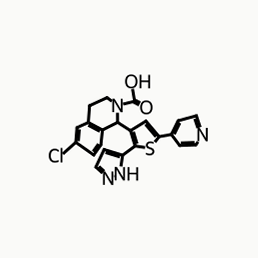 O=C(O)N1CCc2cc(Cl)ccc2C1c1cc(-c2ccncc2)sc1-c1ccn[nH]1